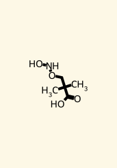 CC(C)(CONO)C(=O)O